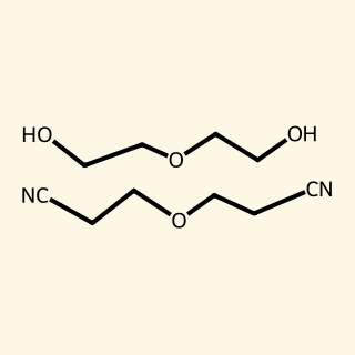 N#CCCOCCC#N.OCCOCCO